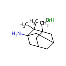 Br.CC12CC3CC(C1)CC(N)(C3)C2(C)C